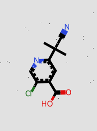 CC(C)(C#N)c1cc(C(=O)O)c(Cl)cn1